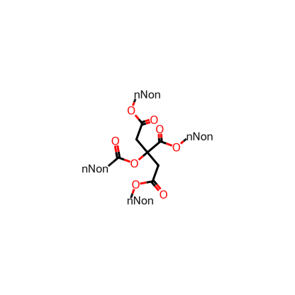 CCCCCCCCCOC(=O)CC(CC(=O)OCCCCCCCCC)(OC(=O)CCCCCCCCC)C(=O)OCCCCCCCCC